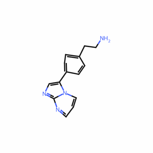 NCCc1ccc(-c2cnc3ncccn23)cc1